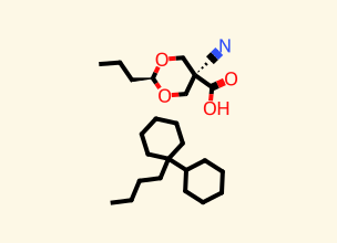 CCCCC1(C2CCCCC2)CCCCC1.CCC[C@H]1OC[C@@](C#N)(C(=O)O)CO1